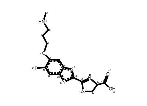 CNCCCOc1cc2sc(C3=NC(C(=O)O)CS3)nc2cc1F